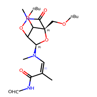 CCCCOC[C@]12O[C@@H](N(C)/C=C(/C)C(=O)NC=O)C(ON(C)C1=O)C2OCCCC